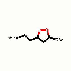 CCCCCCCCCC1CC(OC(C)=O)OO1